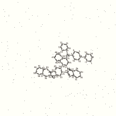 c1ccc(-c2ccc(N(c3ccccc3)c3ccc(-c4cc5c(cc4-c4nc6ccccc6s4)oc4cc6ccccc6cc45)c4ccccc34)cc2)cc1